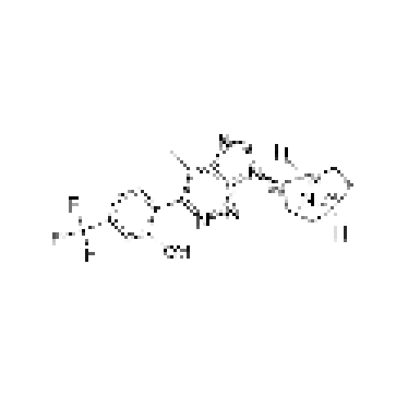 Cc1c(-c2ccc(C(F)(F)F)cc2O)nnc2c1ncn2[C@@H]1CC[C@@H]2CC[C@H]1N2C